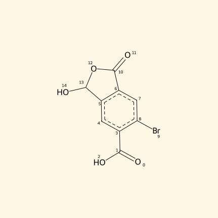 O=C(O)c1cc2c(cc1Br)C(=O)OC2O